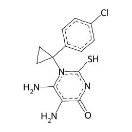 Nc1c(N)n(C2(c3ccc(Cl)cc3)CC2)c(S)nc1=O